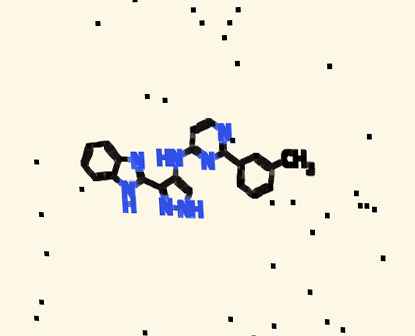 Cc1cccc(-c2nccc(Nc3c[nH]nc3-c3nc4ccccc4[nH]3)n2)c1